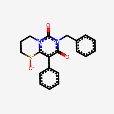 O=c1c(-c2ccccc2)c2n(c(=O)n1Cc1ccccc1)CCC[S+]2[O-]